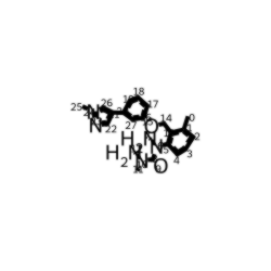 Cc1cccc(N(N)C(=O)N(C)N)c1COc1cccc(-c2cnn(C)c2)c1